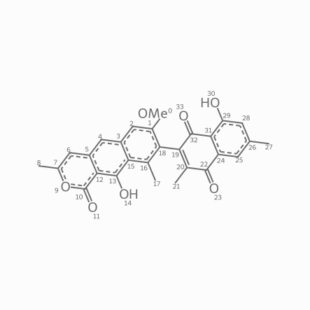 COc1cc2cc3cc(C)oc(=O)c3c(O)c2c(C)c1C1=C(C)C(=O)c2cc(C)cc(O)c2C1=O